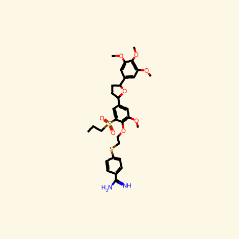 CCCS(=O)(=O)c1cc(C2CCC(c3cc(OC)c(OC)c(OC)c3)O2)cc(OC)c1OCCSc1ccc(C(=N)N)cc1